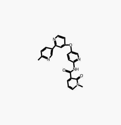 Cc1ccc(-c2cc(Oc3ccc(NC(=O)c4cccn(C)c4=O)nc3)ccn2)cn1